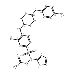 O=C(ON(c1nccs1)S(=O)(=O)c1ccc(OC2CCN(Cc3ccc(C(F)(F)F)cc3)CC2)c(Cl)c1)C(F)(F)F